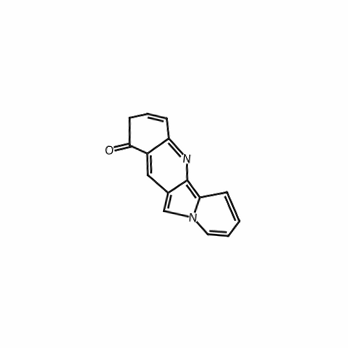 O=C1CC=Cc2nc3c(cc21)cn1ccccc31